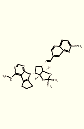 CNc1ncnc2c1c1c(n2[C@@H]2C[C@H](/C=C/c3ccc4ccc(N)nc4c3)[C@H]3OC(C)(C)O[C@H]32)CCC1